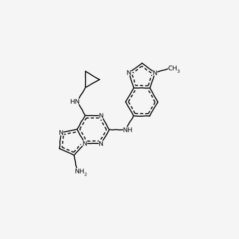 Cn1cnc2cc(Nc3nc(NC4CC4)c4ncc(N)n4n3)ccc21